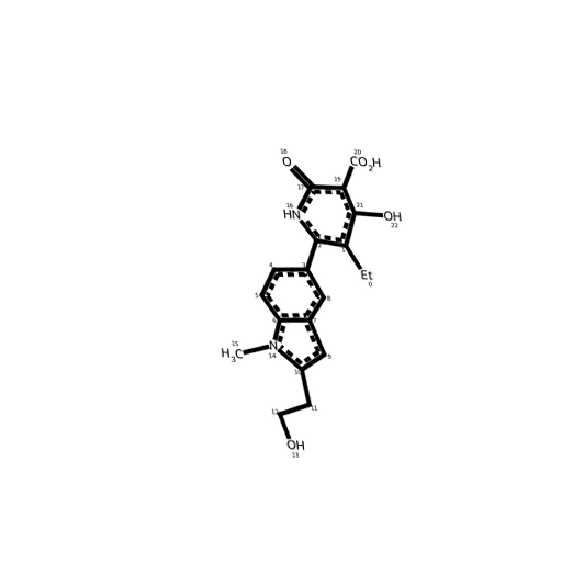 CCc1c(-c2ccc3c(c2)cc(CCO)n3C)[nH]c(=O)c(C(=O)O)c1O